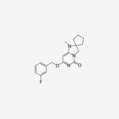 CN1c2cc(OCc3cccc(F)c3)nc(=O)n2CC12CCCC2